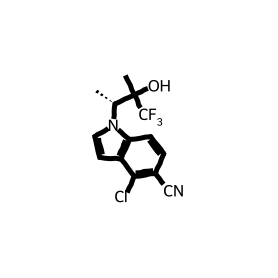 C[C@@H](n1ccc2c(Cl)c(C#N)ccc21)C(C)(O)C(F)(F)F